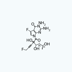 C[C@H](O)[C@H]1O[C@@H](n2cc(F)c3c(=O)n(N)c(N)nc32)[C@@](O)(C#CCF)C1O